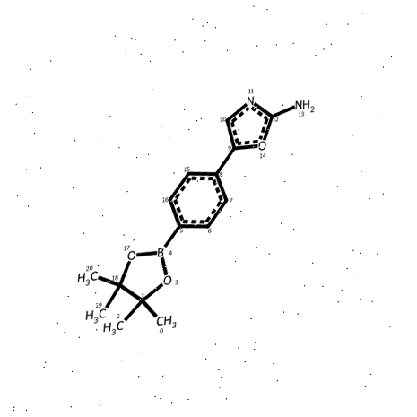 CC1(C)OB(c2ccc(-c3cnc(N)o3)cc2)OC1(C)C